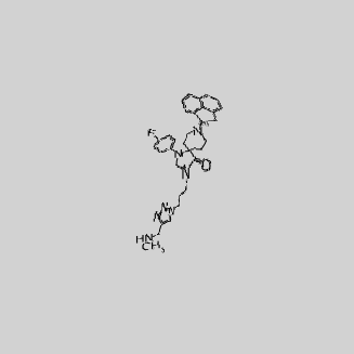 CNCc1cn(CCCN2CN(c3ccc(F)cc3)C3(CCN([C@@H]4Cc5cccc6cccc4c56)CC3)C2=O)nn1